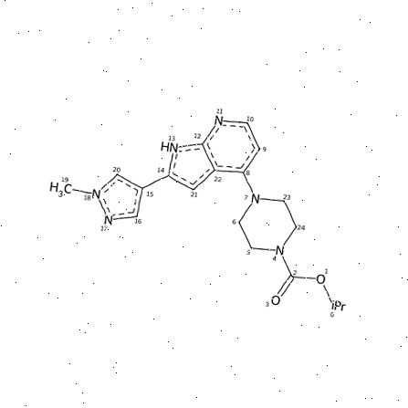 CC(C)OC(=O)N1CCN(c2ccnc3[nH]c(-c4cnn(C)c4)cc23)CC1